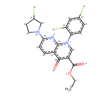 CCOC(=O)c1cn(-c2ccc(F)cc2F)c2nc(N3CCC(F)C3)ccc2c1=O